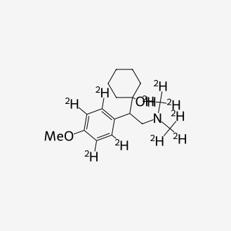 [2H]c1c([2H])c(C(CN(C([2H])([2H])[2H])C([2H])([2H])[2H])C2(O)CCCCC2)c([2H])c([2H])c1OC